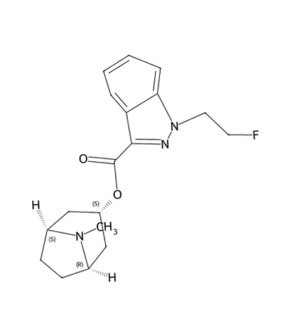 CN1[C@@H]2CC[C@H]1C[C@H](OC(=O)c1nn(CCF)c3ccccc13)C2